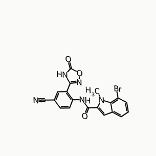 Cn1c(C(=O)Nc2ccc(C#N)cc2-c2noc(=O)[nH]2)cc2cccc(Br)c21